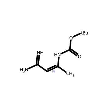 C/C(=C/C(=N)N)NC(=O)OC(C)(C)C